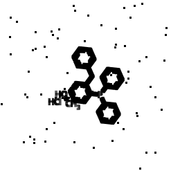 CO.Cl.c1ccc(Cc2ccccc2P(c2ccccc2)c2ccccc2)cc1